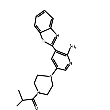 CC(C)C(=O)N1CCN(c2cnc(N)c(-c3nc4ccccc4o3)c2)CC1